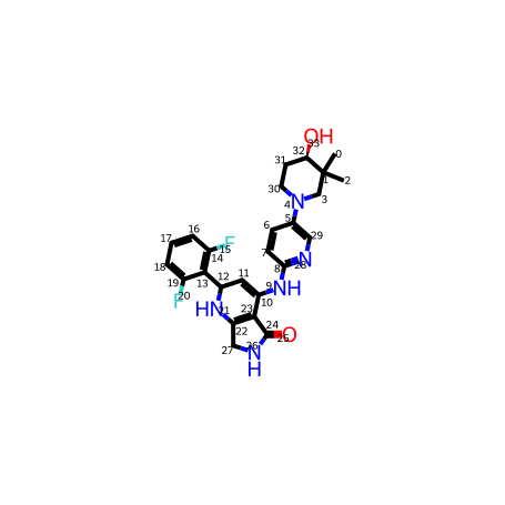 CC1(C)CN(c2ccc(NC3=CC(c4c(F)cccc4F)NC4=C3C(=O)NC4)nc2)CC[C@H]1O